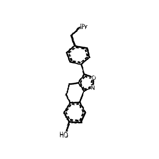 CC(C)Cc1ccc(-c2onc3c2CCc2cc(O)ccc2-3)cc1